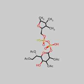 CC(=O)OC[C@H](OC(C)=O)C1OC(OP(=O)(O)OP(=O)(S)OC[C@H]2O[C@@H](C)[C@@H](C)C2C)C(OC(C)=O)C(OC(C)=O)C1O